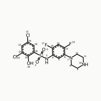 O=S(=O)(Nc1cc(N2CCNCC2)c(F)cc1F)c1cc(Cl)cc(Cl)c1O